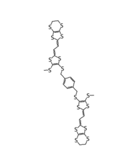 CSC1=C(SCc2ccc(CSC3=C(SC)S/C(=C/C=C4SC5=C(SCCS5)S4)S3)cc2)S/C(=C\C=C2SC3=C(SCCS3)S2)S1